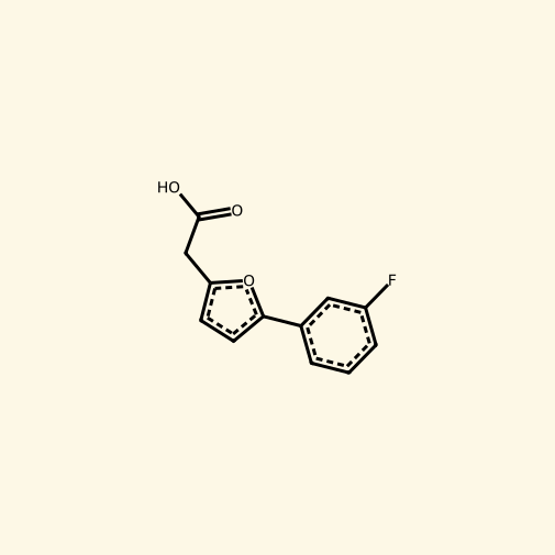 O=C(O)Cc1ccc(-c2cccc(F)c2)o1